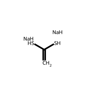 C=C(S)S.[NaH].[NaH]